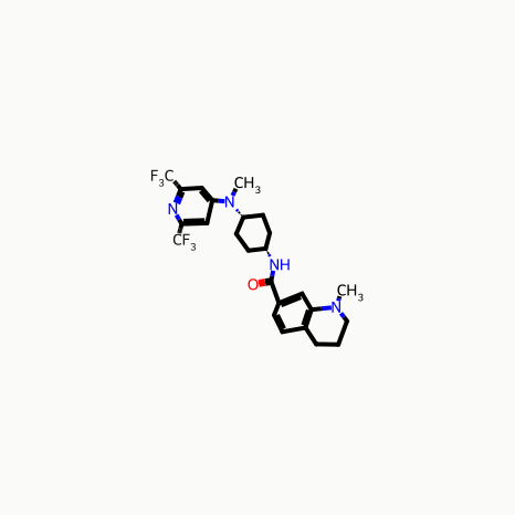 CN1CCCc2ccc(C(=O)N[C@H]3CC[C@@H](N(C)c4cc(C(F)(F)F)nc(C(F)(F)F)c4)CC3)cc21